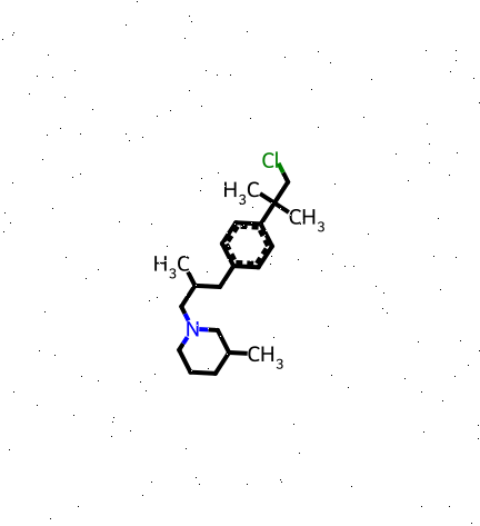 CC1CCCN(CC(C)Cc2ccc(C(C)(C)CCl)cc2)C1